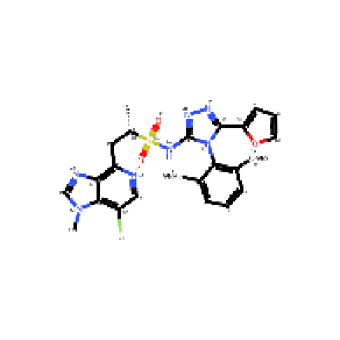 COc1cccc(OC)c1-n1c(NS(=O)(=O)[C@@H](C)Cc2ncc(F)c3c2ncn3C)nnc1-c1ccco1